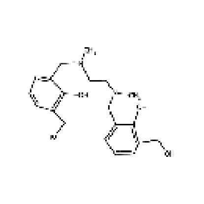 CN(CCN(C)Cc1cccc(CO)c1O)Cc1cccc(CO)c1O